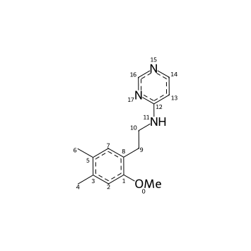 COc1cc(C)c(C)cc1CCNc1ccncn1